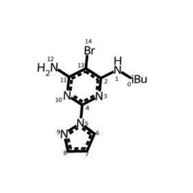 CCC(C)Nc1nc(-n2cccn2)nc(N)c1Br